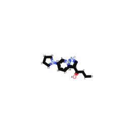 CCCC(=O)c1cnn2cc(N3CCCC3)ccc12